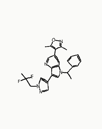 Cc1noc(C)c1-c1cnc2c(-c3cnn(CC(C)(F)F)c3)cn(C(C)c3ccccc3)c2c1